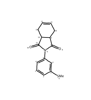 CSc1cccc(N2C(=O)C3CC=CCC3C2=O)c1